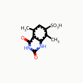 Cc1c(S(=O)(=O)O)cc(C)c2c(=O)[nH]c(=O)[nH]c12